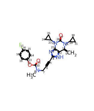 C=C1c2[nH]c(C#CCN(C)C(=O)Oc3ccc(F)cc3)nc2N(C2CC2)C(=O)N1C1CC1